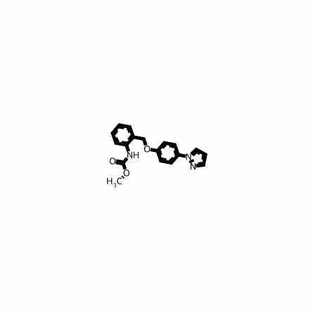 COC(=O)Nc1ccccc1COc1ccc(-n2cccn2)cc1